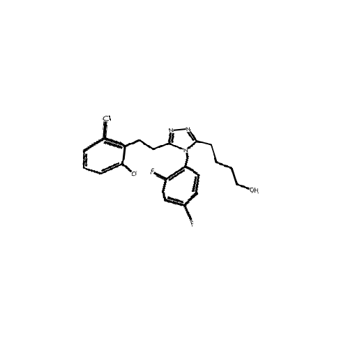 OCCCCc1nnc(CCc2c(Cl)cccc2Cl)n1-c1ccc(F)cc1F